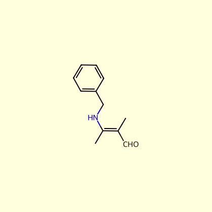 CC(C=O)=C(C)NCc1ccccc1